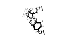 CCC(CC)P(=O)(OO)Oc1ccc(C)cc1